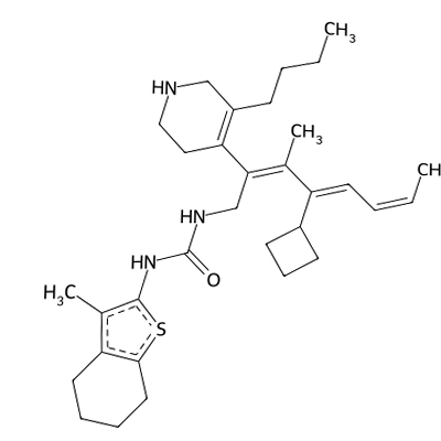 C\C=C/C=C(/C(C)=C(\CNC(=O)Nc1sc2c(c1C)CCCC2)C1=C(CCCC)CNCC1)C1CCC1